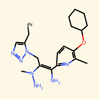 Cc1nc(/C(N)=C(\Cn2nncc2CC(C)C)N(C)N)ccc1OC1CCCCC1